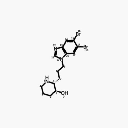 O[C@H]1CCCN[C@@H]1CCCn1cnc2cc(Br)c(Br)cc21